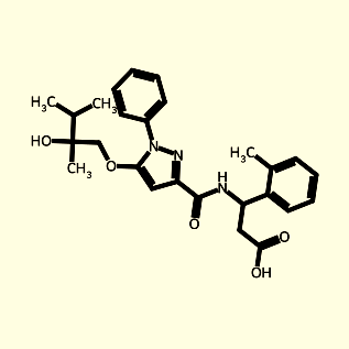 Cc1ccccc1C(CC(=O)O)NC(=O)c1cc(OCC(C)(O)C(C)C)n(-c2ccccc2)n1